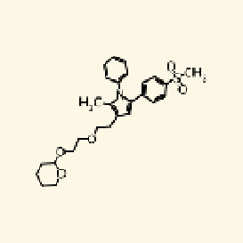 Cc1c(CCOCCOC2CCCCO2)cc(-c2ccc(S(C)(=O)=O)cc2)n1-c1ccccc1